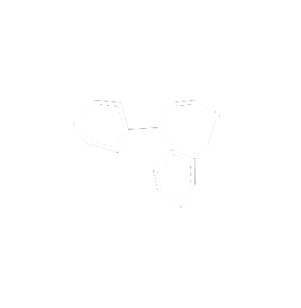 C1=CC(c2ccccc2)=c2ccccc2=CN1